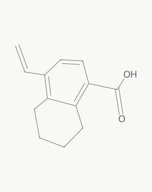 C=Cc1ccc(C(=O)O)c2c1CCCC2